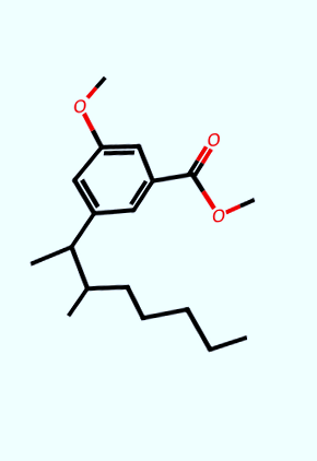 CCCCCC(C)C(C)c1cc(OC)cc(C(=O)OC)c1